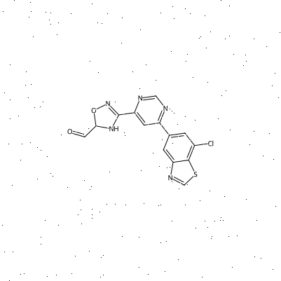 O=CC1NC(c2cc(-c3cc(Cl)c4scnc4c3)ncn2)=NO1